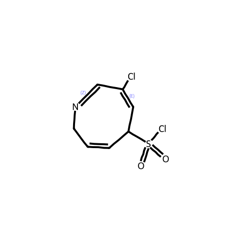 O=S(=O)(Cl)C1C=CC/N=C\C(Cl)=C/1